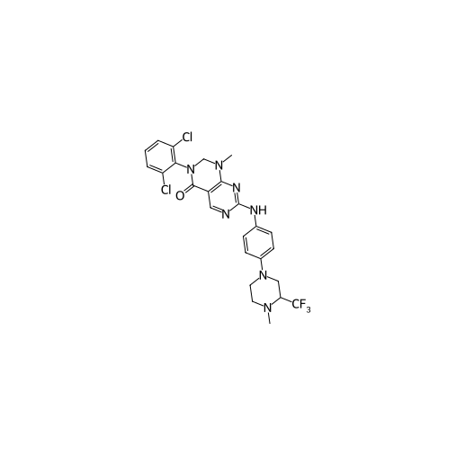 CN1CN(c2c(Cl)cccc2Cl)C(=O)c2cnc(Nc3ccc(N4CCN(C)C(C(F)(F)F)C4)cc3)nc21